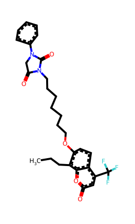 CCCc1c(OCCCCCCCN2C(=O)CN(c3ccccc3)C2=O)ccc2c(C(F)(F)F)cc(=O)oc12